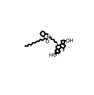 CCCCCCCCCCCC(=O)N(CCCCC[C@@H]1Cc2cc(O)ccc2C2C1C1CC[C@H](O)[C@@]1(C)C[C@@H]2F)CC1CCCCC1